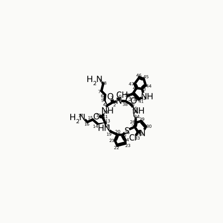 CN1C(=O)[C@H](CCCCN)NC(=O)[C@H](CCCN)NCc2ccccc2Sc2c(ccnc2Cl)CNC(=O)[C@@H]1Cc1c[nH]c2ccccc12